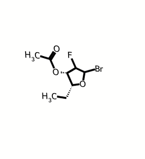 CC[C@H]1OC(Br)C(F)[C@H]1OC(C)=O